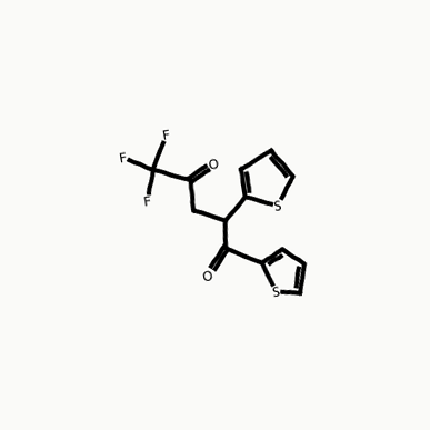 O=C(c1cccs1)C(CC(=O)C(F)(F)F)c1cccs1